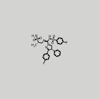 C[C@@H](C/N=C(/NS(=O)(=O)c1ccc(F)cc1)N1C[C@@H](c2ccccc2)C(c2ccc(F)cc2)=N1)S(N)(=O)=O